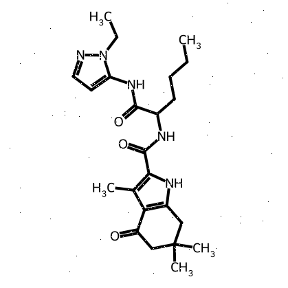 CCCCC(NC(=O)c1[nH]c2c(c1C)C(=O)CC(C)(C)C2)C(=O)Nc1ccnn1CC